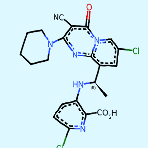 C[C@@H](Nc1ccc(Cl)nc1C(=O)O)c1cc(Cl)cn2c(=O)c(C#N)c(N3CCCCC3)nc12